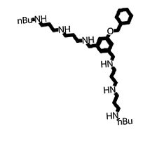 CCCCNCCCNCCCNCc1cc(CNCCCNCCCNCCCC)cc(OCC2CCCCC2)c1